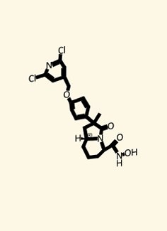 CC1(c2ccc(OCc3cc(Cl)nc(Cl)c3)cc2)C[C@H]2CCCC(C(=O)NO)N2C1=O